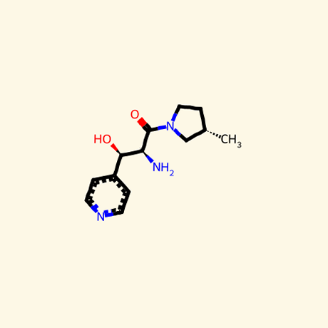 C[C@H]1CCN(C(=O)[C@@H](N)[C@H](O)c2ccncc2)C1